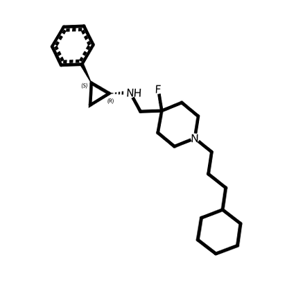 FC1(CN[C@@H]2C[C@H]2c2ccccc2)CCN(CCCC2CCCCC2)CC1